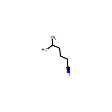 C[C](C)CCCC#N